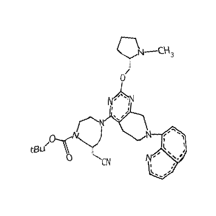 CN1CCC[C@H]1COc1nc2c(c(N3CCN(C(=O)OC(C)(C)C)[C@@H](CC#N)C3)n1)CCN(c1cccc3cccnc13)C2